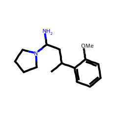 COc1ccccc1C(C)CC(N)N1CCCC1